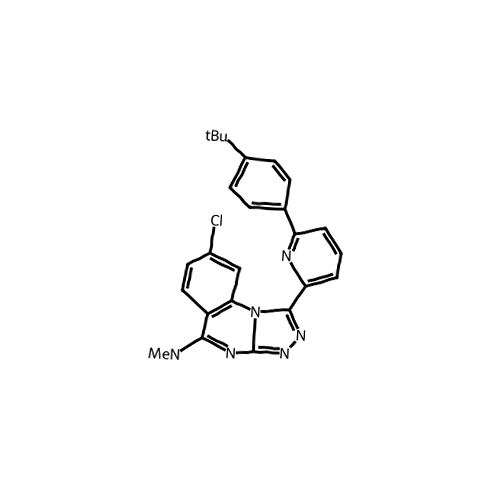 CNc1nc2nnc(-c3cccc(-c4ccc(C(C)(C)C)cc4)n3)n2c2cc(Cl)ccc12